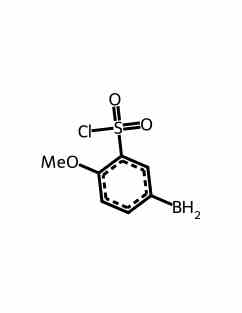 Bc1ccc(OC)c(S(=O)(=O)Cl)c1